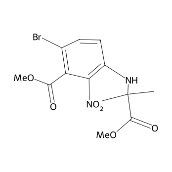 COC(=O)c1c(Br)ccc(NC(C)(C)C(=O)OC)c1[N+](=O)[O-]